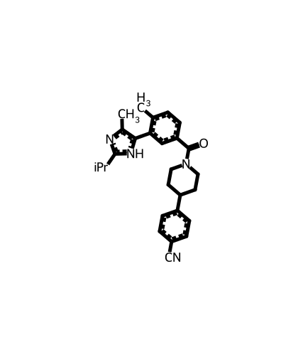 Cc1ccc(C(=O)N2CCC(c3ccc(C#N)cc3)CC2)cc1-c1[nH]c(C(C)C)nc1C